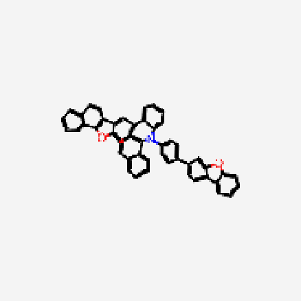 c1ccc(N(c2ccc(-c3ccc4c(c3)oc3ccccc34)cc2)c2cccc3ccccc23)c(-c2ccc3oc4c5ccccc5ccc4c3c2)c1